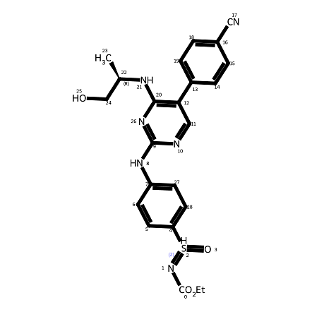 CCOC(=O)/N=[SH](=O)/c1ccc(Nc2ncc(-c3ccc(C#N)cc3)c(N[C@H](C)CO)n2)cc1